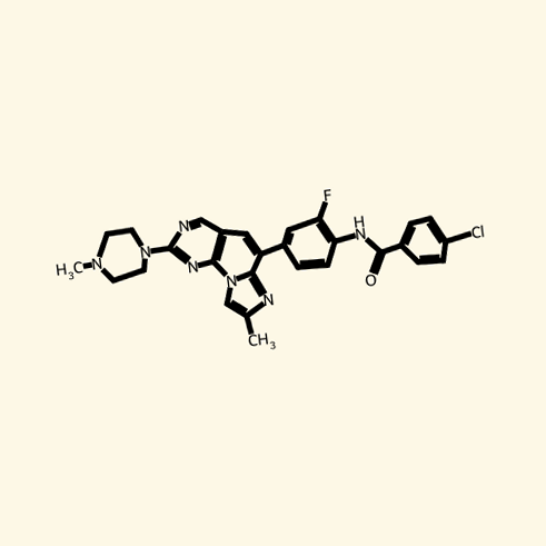 Cc1cn2c(n1)c(-c1ccc(NC(=O)c3ccc(Cl)cc3)c(F)c1)cc1cnc(N3CCN(C)CC3)nc12